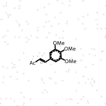 COc1cc(/C=C/C(C)=O)cc(OC)c1OC